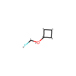 F[CH]OC1CCC1